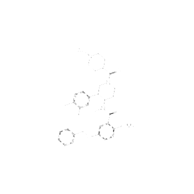 COc1ccc(OCc2ccccc2)cc1C(=O)N(C)C1CCN(C(=O)C2CCN(C(C)=O)CC2)CC1c1ccc(Cl)c(Cl)c1